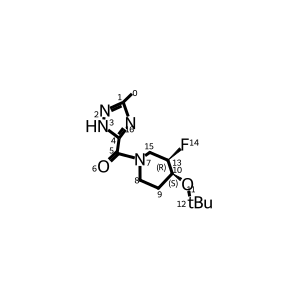 Cc1n[nH]c(C(=O)N2CC[C@H](OC(C)(C)C)[C@H](F)C2)n1